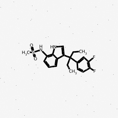 CCC(CC)(c1ccc(F)c(F)c1)c1c[nH]c2c(NS(C)(=O)=O)cccc12